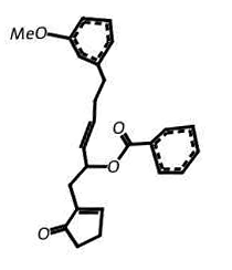 COc1cccc(CC/C=C/C(CC2=CCCC2=O)OC(=O)c2ccccc2)c1